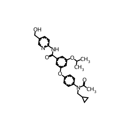 CC(=O)N(CC1CC1)c1ccc(Oc2cc(OC(C)C)cc(C(=O)Nc3ccc(CO)cn3)c2)cc1